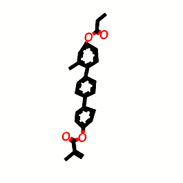 C=C(C)C(=O)Oc1ccc(-c2ccc(-c3ccc(OC(=O)CC)cc3C)cc2)cc1